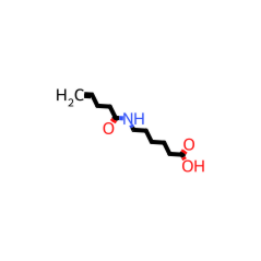 C=CCCC(=O)NCCCCCC(=O)O